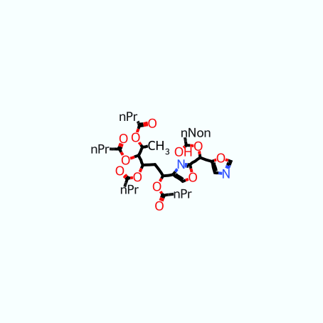 CCCCCCCCCC(O)OC(c1cnco1)c1nc(C(CC(OC(=O)CCC)C(OC(=O)CCC)C(C)OC(=O)CCC)OC(=O)CCC)co1